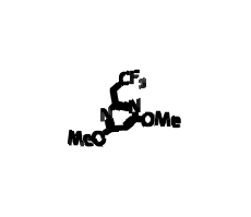 COc1cc(OC)nc(CC(F)(F)F)n1